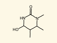 CC1C(O)NC(=O)N(C)C1C